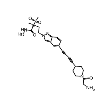 C[C@@](CCn1cc2cc(C#CC#CC3CCN(C(=O)CN)CC3)ccc2n1)(C(=O)NO)S(C)(=O)=O